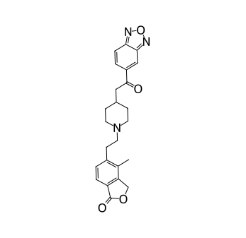 Cc1c(CCN2CCC(CC(=O)c3ccc4nonc4c3)CC2)ccc2c1COC2=O